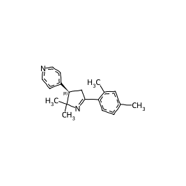 Cc1ccc(C2=NC(C)(C)[C@@H](c3ccncc3)C2)c(C)c1